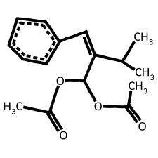 CC(=O)OC(OC(C)=O)C(=Cc1ccccc1)C(C)C